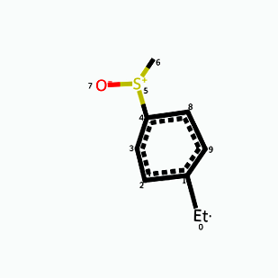 C[CH]c1ccc([S+](C)[O-])cc1